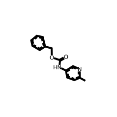 Cc1ccc(NC(=O)OCc2ccccc2)cn1